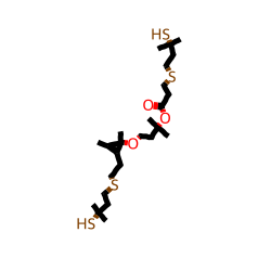 CC1=C(CCSCCC(C)(C)S)C1(C)OCCC(C)(C)OC(=O)CCSCCC(C)(C)S